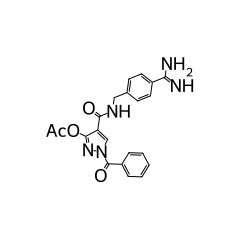 CC(=O)Oc1nn(C(=O)c2ccccc2)cc1C(=O)NCc1ccc(C(=N)N)cc1